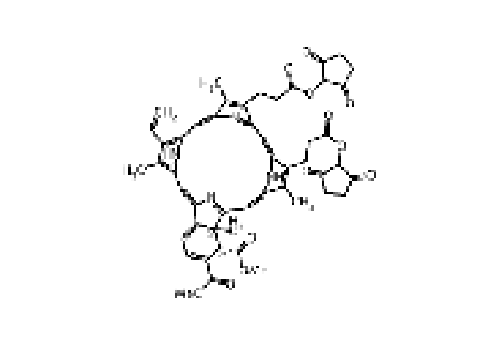 C=Cc1c(C)c2cc3nc(cc4[nH]c(cc5nc(cc1[nH]2)C(C)=C5CCC(=O)OC1C(=O)CCC1=O)c(CCC(=O)OC1C(=O)CCC1=O)c4C)[C@@]1(C)C3=CC=C(C(=O)OC)[C@H]1C(=O)OC